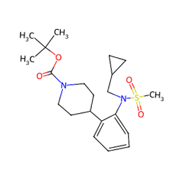 CC(C)(C)OC(=O)N1CCC(c2ccccc2N(CC2CC2)S(C)(=O)=O)CC1